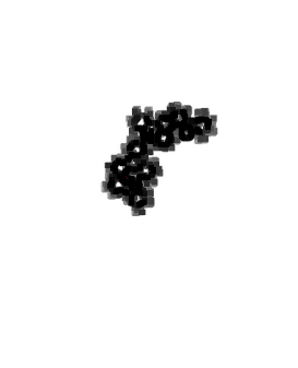 c1ccc(-c2ccccc2N(c2ccc(-c3ccccc3-c3ccccc3-n3c4ccccc4c4ccccc43)cc2)c2cccc(-c3cccc4c3oc3ccccc34)c2)cc1